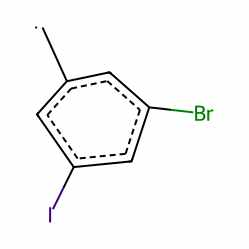 [CH2]c1cc(Br)cc(I)c1